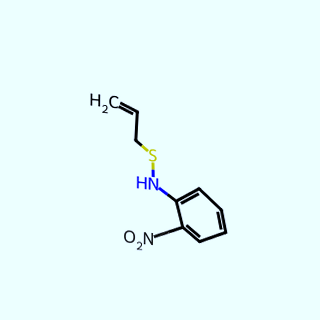 C=CCSNc1ccccc1[N+](=O)[O-]